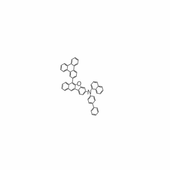 c1ccc(-c2ccc(N(c3ccc4c(c3)oc3c(-c5ccc6c7ccccc7c7ccccc7c6c5)c5ccccc5cc34)c3cccc4ccccc34)cc2)cc1